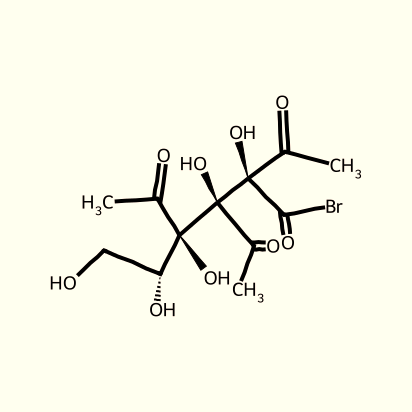 CC(=O)[C@](O)(C(=O)Br)[C@](O)(C(C)=O)[C@@](O)(C(C)=O)[C@H](O)CO